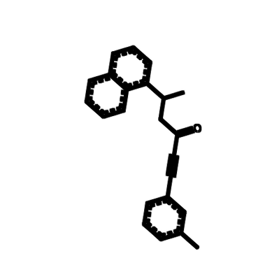 Cc1cccc(C#CC(=O)CC(C)c2cccc3ccccc23)c1